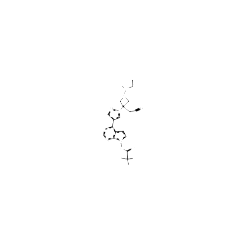 CC[S+]([O-])N1CC(CC#N)(n2cc(-c3ncnc4c3ccn4OC(=O)C(C)(C)C)cn2)C1